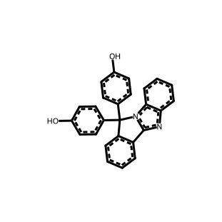 Oc1ccc(C2(c3ccc(O)cc3)c3ccccc3-c3nc4ccccc4n32)cc1